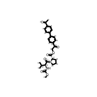 [CH2]C(=O)c1ccc(-c2ccc(C(=O)COC(=O)[C@@H]3CCCN3C(=O)[C@@H](NC(=O)OC)C(C)C)cc2)cc1